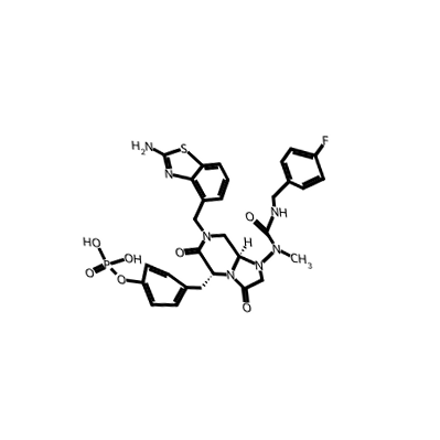 CN(C(=O)NCc1ccc(F)cc1)N1CC(=O)N2[C@H](Cc3ccc(OP(=O)(O)O)cc3)C(=O)N(Cc3cccc4sc(N)nc34)C[C@H]21